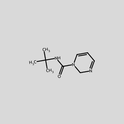 CC(C)(C)NC(=O)N1C=CC=NC1